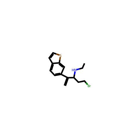 C=C(c1ccc2ccsc2c1)C(CCBr)NCC